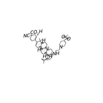 C=C(C)[C@@H]1CC[C@]2(NCCN3CCC(S(C)(=O)=O)CC3)CC[C@]3(C)[C@H](CC[C@@H]4[C@@]5(C)CC=C(C6=CCC(C#N)(C(=O)O)CC6)C(C)(C)[C@@H]5CC[C@]43C)[C@@H]12